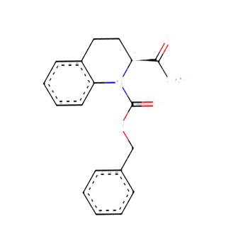 COC(=O)[C@@H]1CCc2ccccc2N1C(=O)OCc1ccccc1